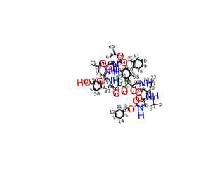 CC(C)C[C@H](NC(=O)OCc1ccccc1)C(=O)N[C@@H](CC(C)C)C(=O)N[C@@H](Cc1ccc(O)cc1)C(=O)C(F)C(=O)C(F)C(=O)[C@H](Cc1ccc(O)cc1)NC(=O)[C@H](CC(C)C)NC(=O)[C@H](CC(C)C)NC(=O)OCc1ccccc1